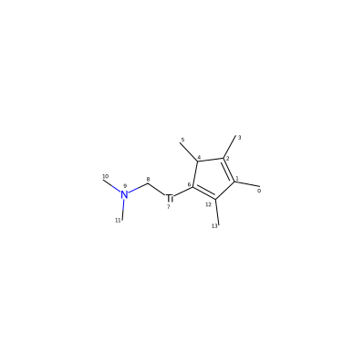 CC1=C(C)C(C)[C]([Ti][CH2]N(C)C)=C1C